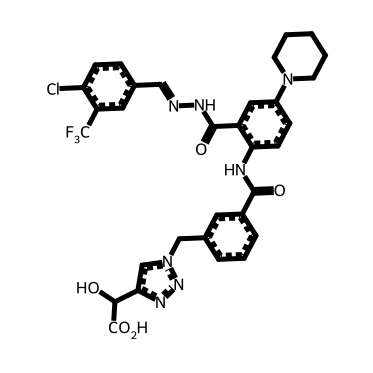 O=C(Nc1ccc(N2CCCCC2)cc1C(=O)NN=Cc1ccc(Cl)c(C(F)(F)F)c1)c1cccc(Cn2cc(C(O)C(=O)O)nn2)c1